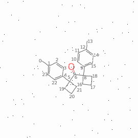 Cc1ccc(C2(C(=O)C3(c4ccc(C)cc4)CCC3)CCC2)cc1